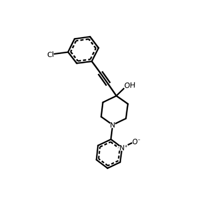 [O-][n+]1ccccc1N1CCC(O)(C#Cc2cccc(Cl)c2)CC1